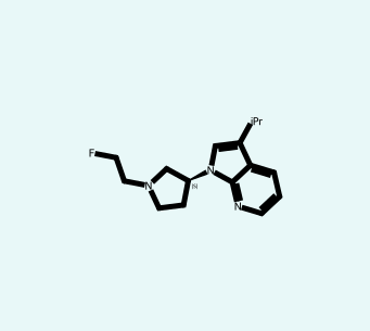 CC(C)c1cn([C@H]2CCN(CCF)C2)c2ncccc12